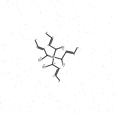 CC=CC(CC)[PH](C(C=CC)CC)(C(C=CC)CC)C(C=CC)CC